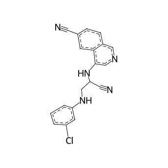 N#Cc1ccc2cncc(NC(C#N)CNc3cccc(Cl)c3)c2c1